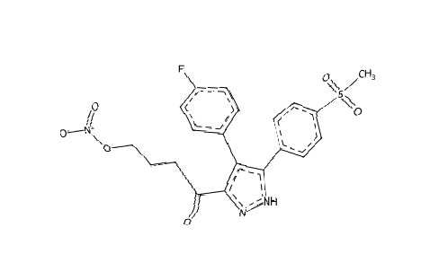 CS(=O)(=O)c1ccc(-c2[nH]nc(C(=O)CCCO[N+](=O)[O-])c2-c2ccc(F)cc2)cc1